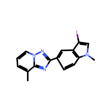 Cc1cccn2nc(-c3ccc4c(c3)c(I)cn4C)nc12